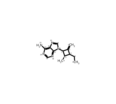 C=C1C(CC)[C@@H](C)C1n1cnc2c(N)ncnc21